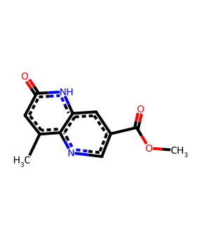 COC(=O)c1cnc2c(C)cc(=O)[nH]c2c1